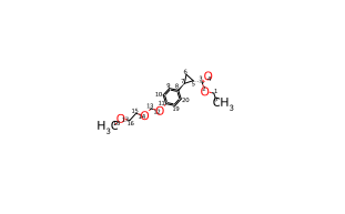 CCOC(=O)[C@H]1C[C@@H]1c1ccc(OCOCCOC)cc1